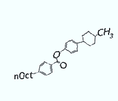 CCCCCCCCc1ccc(C(=O)Oc2ccc(C3CCC(C)CC3)cc2)cc1